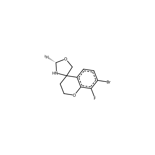 [2H][C@H]1NC2(CCOc3c2ccc(Br)c3F)CO1